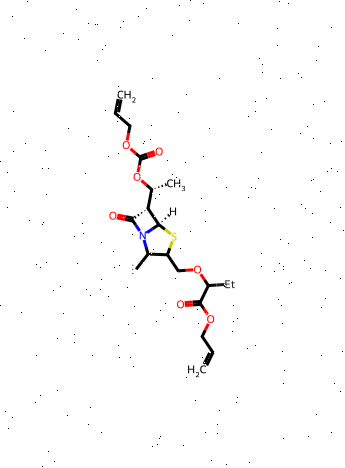 [C]C1C(COC(CC)C(=O)OCC=C)S[C@@H]2[C@@H]([C@@H](C)OC(=O)OCC=C)C(=O)N12